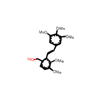 COc1cc(C=Cc2c(CO)ccc(OC)c2OC)cc(OC)c1OC